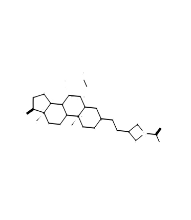 C[C@]12CCC(CCC3CN(C(=O)O)C3)CC1[C@@H](CO)[C@@H](O)C1C2CC[C@]2(C)C(=O)CCC12